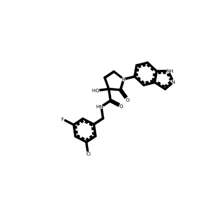 O=C(NCc1cc(F)cc(Cl)c1)C1(O)CCN(c2ccc3[nH]ncc3c2)C1=O